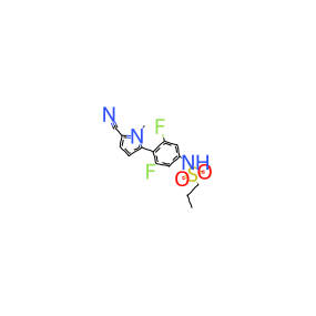 CCCS(=O)(=O)Nc1cc(F)c(-c2ccc(C#N)n2C)c(F)c1